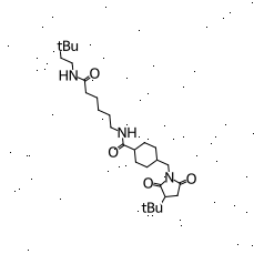 CC(C)(C)CCNC(=O)CCCCCNC(=O)C1CCC(CN2C(=O)CC(C(C)(C)C)C2=O)CC1